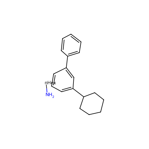 CCCCCCN.c1ccc(-c2cccc(C3CCCCC3)c2)cc1